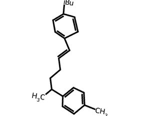 CCC(C)c1ccc(C=CCCC(C)c2ccc(C)cc2)cc1